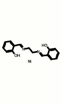 Oc1ccccc1/C=N/CC/N=C/c1ccccc1O.[Ni]